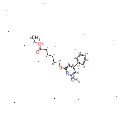 CCOC(=O)CCCCCOc1cc(-c2ccccc2)cc(C)n1